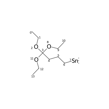 CCOC(CC[CH2][Sn])(OCC)OCC